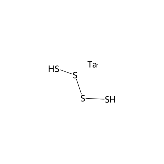 SSSS.[Ta]